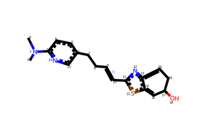 CN(C)c1ccc(CC/C=C/c2nc3c(s2)=CC(O)CC=3)cn1